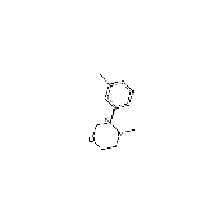 Cc1cccc([C@@H]2COCCN2C)c1